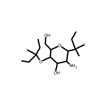 CCC(I)(CC)OC1C(CO)OC(C(C)(I)CC)C(N)C1O